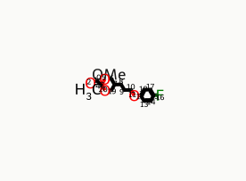 COC(=O)C1(C)OCC(CCCOc2ccc(F)cc2)CO1